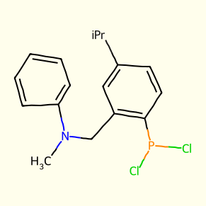 CC(C)c1ccc(P(Cl)Cl)c(CN(C)c2ccccc2)c1